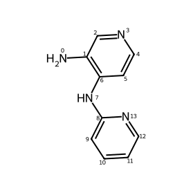 Nc1cnccc1Nc1ccccn1